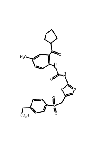 Cc1ccc(NC(=O)Nc2ncc(CS(=O)(=O)c3ccc(CC(=O)O)cc3)s2)c(C(=O)C2CCCC2)c1